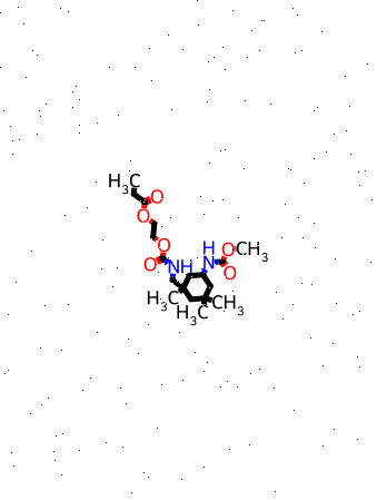 CCC(=O)OCCOC(=O)NCC1(C)CC(NC(=O)OC)CC(C)(C)C1